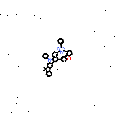 CC1(C)c2ccccc2-c2cc3c4cc(-c5ccc6oc7cccc(-c8nc(-c9ccccc9)nc(-c9ccccc9)n8)c7c6c5)ccc4n(-c4ccccc4)c3cc21